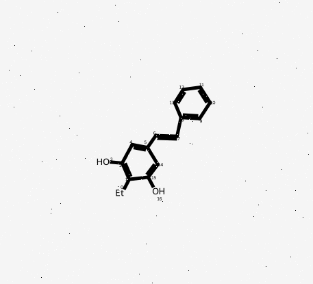 CCc1c(O)cc(C=Cc2ccccc2)cc1O